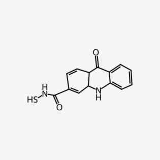 O=C(NS)C1=CC2Nc3ccccc3C(=O)C2C=C1